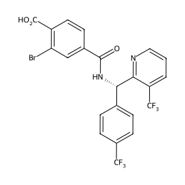 O=C(N[C@@H](c1ccc(C(F)(F)F)cc1)c1ncccc1C(F)(F)F)c1ccc(C(=O)O)c(Br)c1